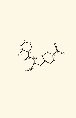 CC(=O)N1CCC(CC(C#N)NC(=O)[C@@H]2CCCC[C@@H]2N)CC1